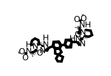 COC(=O)N[C@@H](C)C(=O)N1CCCC[C@H]1c1ncc(-c2ccc(-c3ccc(-c4cnc([C@@H]5CCCCN5C(=O)[C@H](C)NC(=O)OC)[nH]4)c4c3CC3(CCCC3)C4)cc2)[nH]1